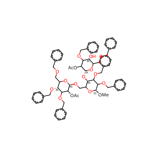 CO[C@H]1OC(CO[C@@H]2OC(COCc3ccccc3)[C@@H](OCc3ccccc3)C(OCc3ccccc3)C2OC(C)=O)[C@@H](O[C@H]2OC(COCc3ccccc3)[C@@H](O)C(OCc3ccccc3)C2OC(C)=O)C(OCc2ccccc2)C1OCc1ccccc1